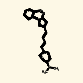 CN(C)c1ccc(C=CC=Cc2cc3nsc4ccccc4c-3c2)cc1